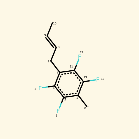 [CH2]c1c(F)c(F)c(CC=CC)c(F)c1F